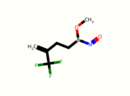 C=C(CCB(N=O)OC)C(F)(F)F